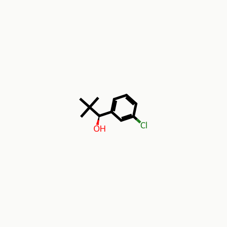 CC(C)(C)[C@H](O)c1cccc(Cl)c1